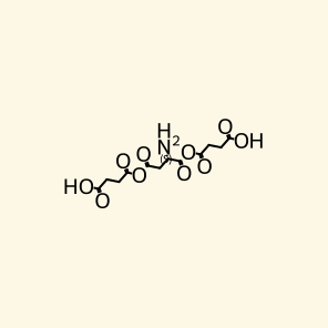 N[C@@H](CC(=O)OC(=O)CCC(=O)O)C(=O)OC(=O)CCC(=O)O